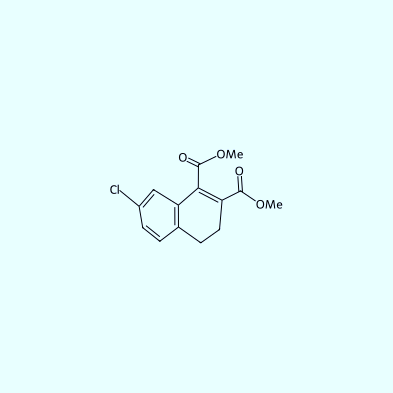 COC(=O)C1=C(C(=O)OC)c2cc(Cl)ccc2CC1